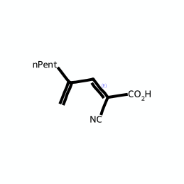 C=C(/C=C(\C#N)C(=O)O)CCCCC